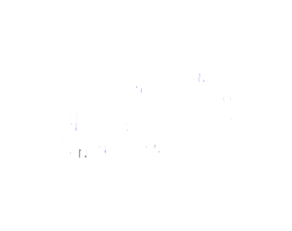 Cc1nc(OC2CCC2)ccc1CN1CCc2c(NC3(C#N)CC3)nc(Cl)c(C#N)c2C1